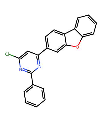 Clc1cc(-c2ccc3c(c2)oc2ccccc23)nc(-c2ccccc2)n1